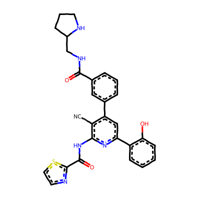 N#Cc1c(-c2cccc(C(=O)NCC3CCCN3)c2)cc(-c2ccccc2O)nc1NC(=O)c1nccs1